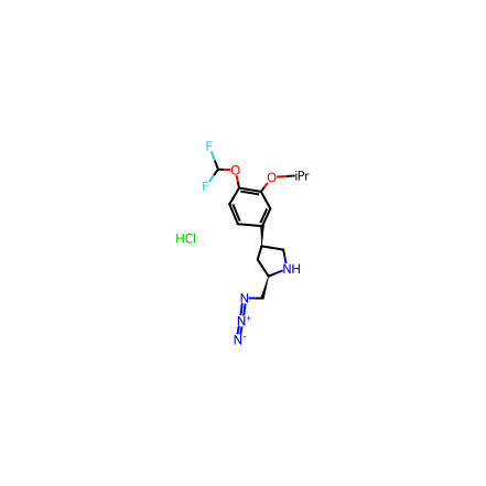 CC(C)Oc1cc([C@H]2CN[C@@H](CN=[N+]=[N-])C2)ccc1OC(F)F.Cl